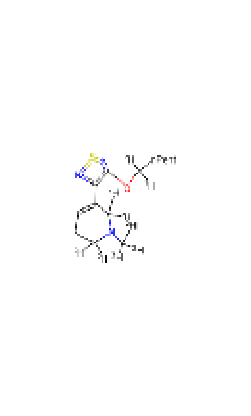 [2H]C([2H])(CCCCC)Oc1nsnc1C1=CCC([2H])([2H])N(C([2H])([2H])[2H])C1([2H])[2H]